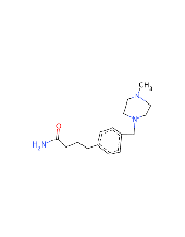 CN1CCN(Cc2ccc(CCCC(N)=O)cc2)CC1